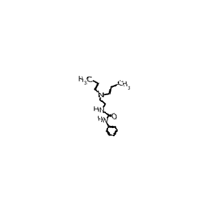 CCCN(CCC)CCNC(=O)Nc1ccccc1